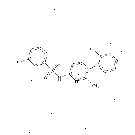 Cc1nc(NS(=O)(=O)c2cccc(F)c2)ccc1-c1ccccc1Cl